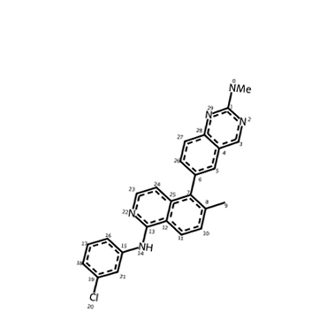 CNc1ncc2cc(-c3c(C)ccc4c(Nc5cccc(Cl)c5)nccc34)ccc2n1